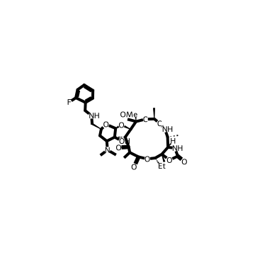 CC[C@@H]1OC(=O)C(C)C(=O)[C@H](C)[C@@H](O[C@@H]2O[C@H](CNCc3ccccc3F)CC(N(C)C)C2O)[C@](C)(OC)C[C@@H](C)CN[C@H](C)[C@H]2NC(=O)O[C@]12C